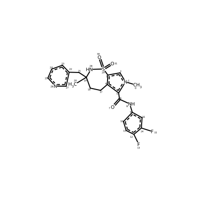 Cn1cc2c(c1C(=O)Nc1ccc(F)c(F)c1)CCC(C)(Cc1cccnc1)NS2(=O)=O